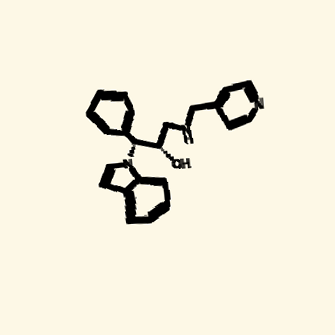 O[C@@H](CNCc1ccncc1)[C@@H](c1ccccc1)n1ccc2ccccc21